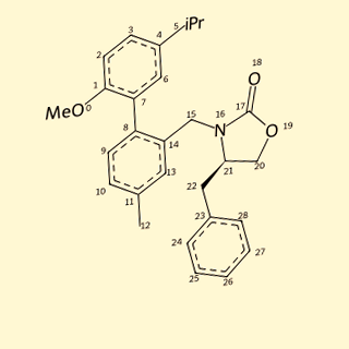 COc1ccc(C(C)C)cc1-c1ccc(C)cc1CN1C(=O)OC[C@H]1Cc1ccccc1